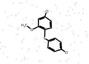 COc1cc(Cl)ccc1Sc1ccc(Cl)cc1